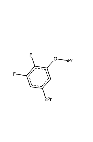 CCCc1cc(F)c(F)c(OC(C)C)c1